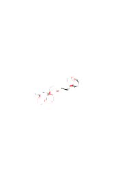 CC(=O)CC(=O)OC/C=C/c1ccco1